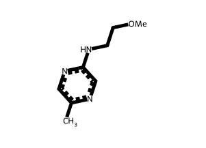 COCCNc1cnc(C)cn1